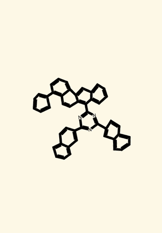 c1ccc(-c2cccc3c2ccc2c(-c4nc(-c5ccc6ccccc6c5)nc(-c5ccc6ccccc6c5)n4)c4ccccc4cc23)cc1